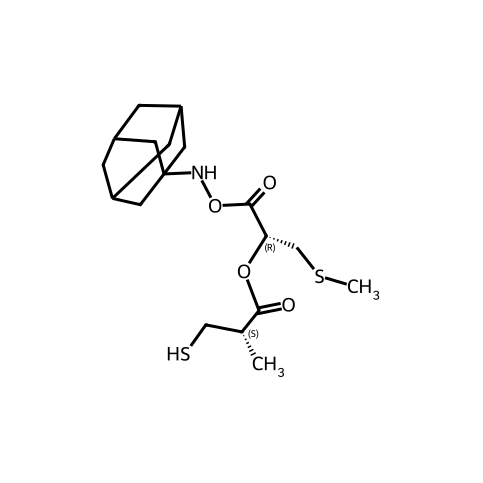 CSC[C@H](OC(=O)[C@H](C)CS)C(=O)ONC12CC3CC(CC(C3)C1)C2